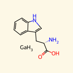 N[C@@H](Cc1c[nH]c2ccccc12)C(=O)O.[GaH3]